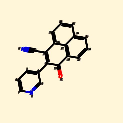 N#CC1=C(c2cccnc2)C(=O)c2cccc3cccc1c23